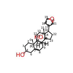 C[C@]12CCC(O)CC1=CC[C@@H]1[C@H]2CC[C@]2(C)C(c3ccoc3)CC[C@@]12O